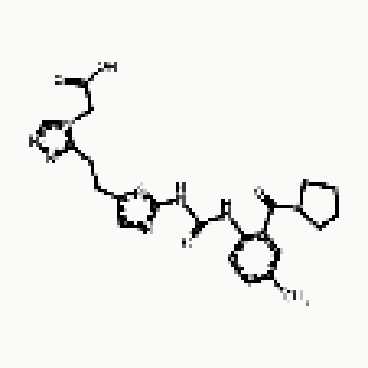 Cc1ccc(NC(=O)Nc2ncc(CCc3nncn3CC(=O)O)s2)c(C(=O)C2CCCC2)c1